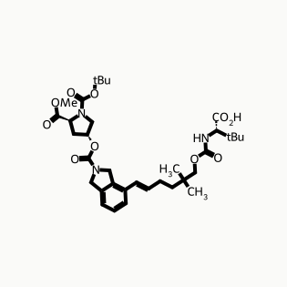 COC(=O)[C@@H]1C[C@@H](OC(=O)N2Cc3cccc(/C=C/CCC(C)(C)COC(=O)N[C@H](C(=O)O)C(C)(C)C)c3C2)CN1C(=O)OC(C)(C)C